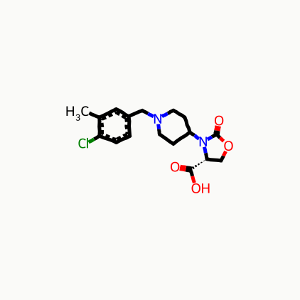 Cc1cc(CN2CCC(N3C(=O)OC[C@@H]3C(=O)O)CC2)ccc1Cl